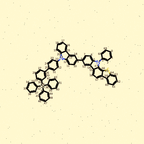 c1ccc(-n2c3ccc(-c4ccc5c(c4)c4ccccc4n5-c4ccc(-c5cccc([Si](c6ccccc6)(c6ccccc6)c6ccccc6)c5)cc4)cc3c3ccc4c5ccccc5sc4c32)cc1